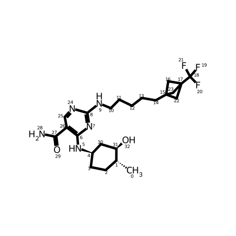 C[C@@H]1CC[C@@H](Nc2nc(NCCCCCC34CC(C(F)(F)F)(C3)C4)ncc2C(N)=O)C[C@H]1O